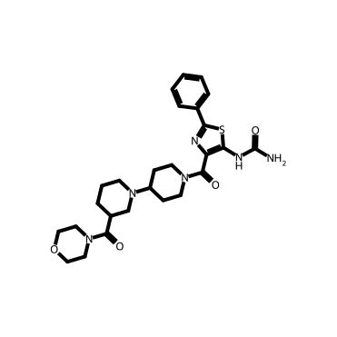 NC(=O)Nc1sc(-c2ccccc2)nc1C(=O)N1CCC(N2CCCC(C(=O)N3CCOCC3)C2)CC1